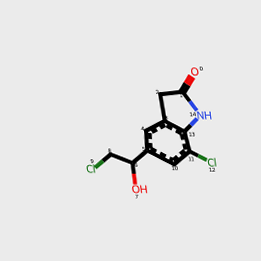 O=C1Cc2cc(C(O)CCl)cc(Cl)c2N1